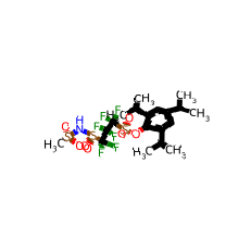 CC(C)c1cc(C(C)C)c(OS(=O)(=O)C(F)(F)C(F)(F)C(F)(F)S(=O)(=O)NS(C)(=O)=O)c(C(C)C)c1